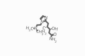 C[C@H](Cc1nccn1CCN(C)C)[C@@H](O)CC(N)=O